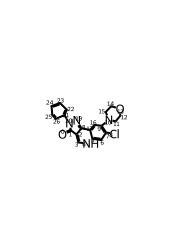 O=c1c2c[nH]c3cc(Cl)c(N4CCOCC4)cc3c-2nn1-c1ccccc1